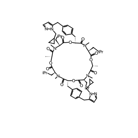 CC(C)C[C@H]1C(=O)O[C@H](Cc2ccc(Cc3ccnn3CC3CC3)cc2)C(=O)N(C)[C@@H](CC(C)C)C(=O)O[C@H](C)C(=O)N(C)[C@@H](CC(C)C)C(=O)O[C@H](Cc2ccc(Cc3ccnn3CC3CC3)cc2)C(=O)N(C)[C@@H](CC(C)C)C(=O)O[C@H](C)C(=O)N1C